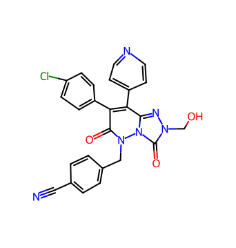 N#Cc1ccc(Cn2c(=O)c(-c3ccc(Cl)cc3)c(-c3ccncc3)c3nn(CO)c(=O)n32)cc1